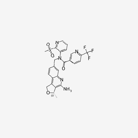 C[C@@H]1OCc2c1c(N)nc1cc(CN(C(=O)c3ccc(C(F)(F)F)nc3)c3cccnc3S(C)(=O)=O)ccc21